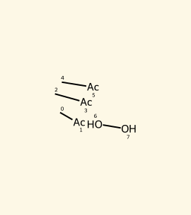 CC(C)=O.CC(C)=O.CC(C)=O.OO